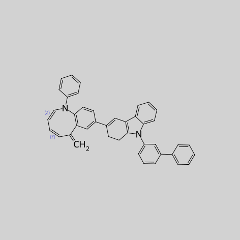 C=C1/C=C\C=C/N(c2ccccc2)c2ccc(C3=Cc4c(n(-c5cccc(-c6ccccc6)c5)c5ccccc45)CC3)cc21